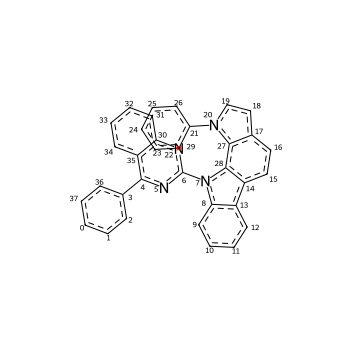 c1ccc(-c2nc(-n3c4ccccc4c4ccc5ccn(-c6ccccc6)c5c43)nc3ccccc23)cc1